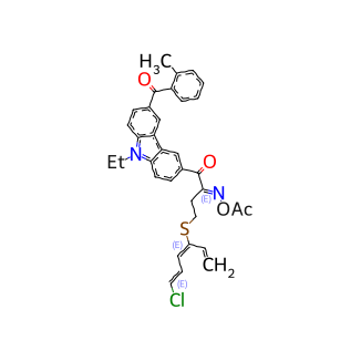 C=C/C(=C\C=C\Cl)SCC/C(=N\OC(C)=O)C(=O)c1ccc2c(c1)c1cc(C(=O)c3ccccc3C)ccc1n2CC